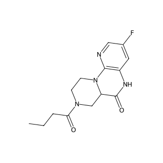 CCCC(=O)N1CCN2c3ncc(F)cc3NC(=O)C2C1